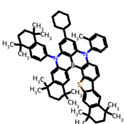 Cc1ccccc1N1c2cc(C3CCCCC3)cc3c2B(c2cc4c(cc2N3c2ccc3c(c2)C(C)(C)CCC3(C)C)C(C)(C)CCC4(C)C)c2c1ccc1c2sc2cc3c(cc21)C(C)(C)CCC3(C)C